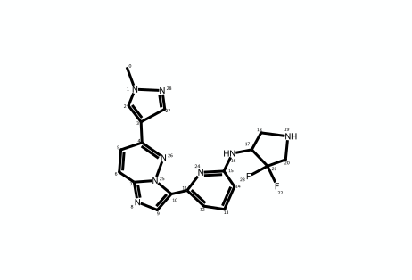 Cn1cc(-c2ccc3ncc(-c4cccc(NC5CNCC5(F)F)n4)n3n2)cn1